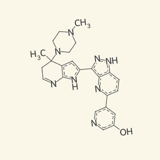 CN1CCN(C2(C)CC=Nc3[nH]c(-c4n[nH]c5ccc(-c6cncc(O)c6)nc45)cc32)CC1